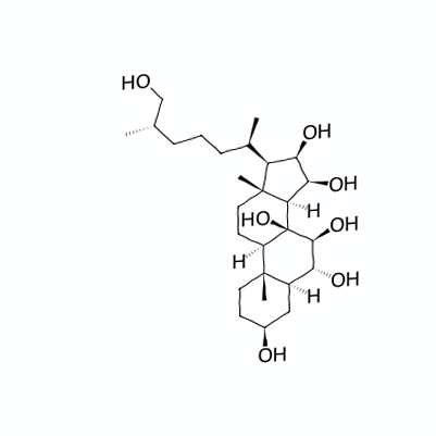 C[C@H](CO)CCC[C@@H](C)[C@H]1[C@@H](O)[C@@H](O)[C@@H]2[C@]1(C)CC[C@@H]1[C@@]3(C)CC[C@H](O)C[C@@H]3[C@@H](O)[C@H](O)[C@]12O